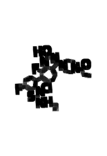 C=CC(=O)N1CCN(c2nc(O)nc3c2=CCC(Cl)=C(c2ccc(F)c4sc(N)nc24)C=3F)CC1